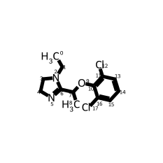 CCN1CCN=C1C(C)Oc1c(Cl)cccc1Cl